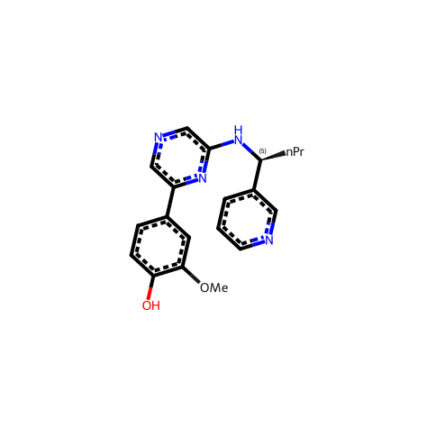 CCC[C@H](Nc1cncc(-c2ccc(O)c(OC)c2)n1)c1cccnc1